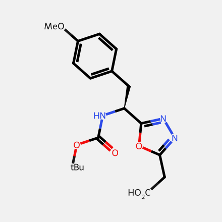 COc1ccc(C[C@H](NC(=O)OC(C)(C)C)c2nnc(CC(=O)O)o2)cc1